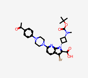 CC(=O)c1ccc(N2CCN(c3ccc4c(Br)c(C(=O)O)n([C@H]5C[C@H](N(C)C(=O)OC(C)(C)C)C5)c4n3)CC2)cc1